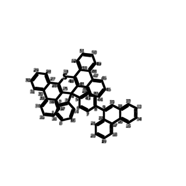 c1ccc(C2(c3ccc(-c4cc5ccccc5c5ccccc45)cc3)c3c(c4ccccc4c4ccccc34)Sc3c2c2ccccc2c2ccccc32)cc1